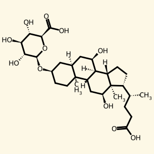 C[C@H](CCC(=O)O)[C@H]1CC[C@H]2[C@@H]3[C@H](O)C[C@@H]4C[C@H](O[C@@H]5O[C@H](C(=O)O)[C@@H](O)[C@H](O)[C@H]5O)CC[C@]4(C)[C@H]3C[C@H](O)[C@]12C